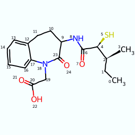 CC[C@H](C)[C@H](S)C(=O)NC1CCc2ccccc2N(CC(=O)O)C1=O